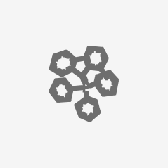 Cc1cccc2c1C(=P(c1ccccc1)(c1ccccc1)c1ccccc1)c1ccccc1-2